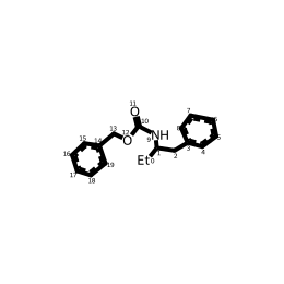 CCC(Cc1ccccc1)NC(=O)OCc1ccccc1